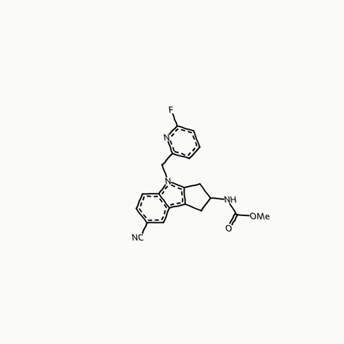 COC(=O)NC1Cc2c(n(Cc3cccc(F)n3)c3ccc(C#N)cc23)C1